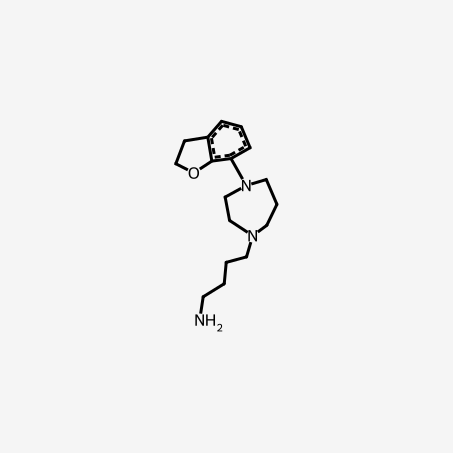 NCCCCN1CCCN(c2cccc3c2OCC3)CC1